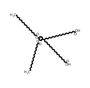 CCCCCCCCCCCCCCCCCC(=O)Oc1ccc(C(CCCCCCCCCCCCCCCCCC(=O)O)CCCCCCCCCCCCCCCCCC(=O)O)cc1OC(=O)CCCCCCCCCCCCCCCCC